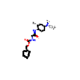 CC(C)[C@@H]1CC(N(C(=O)O)C(C)(C)C)CC[C@@H]1NC(=O)CNC(=O)OCc1ccccc1